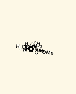 COCCOC(=O)N1C(=O)C(C)(C)c2cc(C(=O)C(C)Br)ccc21